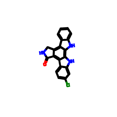 O=C1NCc2c1c1c3ccc(Cl)cc3[nH]c1c1[nH]c3ccccc3c21